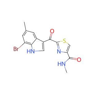 CNC(=O)c1csc(C(=O)c2c[nH]c3c(Br)cc(C)cc23)n1